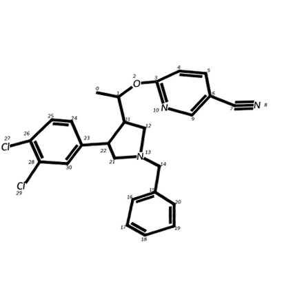 CC(Oc1ccc(C#N)cn1)C1CN(Cc2ccccc2)CC1c1ccc(Cl)c(Cl)c1